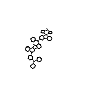 c1ccc2c(-c3cccc(N(c4ccccc4)c4ccccc4)c3)cc3c4cccc(N(c5ccccc5)c5ccc6c(c5)-c5ccccc5C65c6ccccc6Oc6ccccc65)c4sc3c2c#1